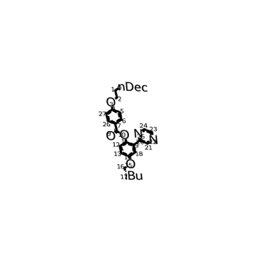 CCCCCCCCCCCCOc1ccc(C(=O)Oc2ccc(OCC(C)CC)cc2-c2cnccn2)cc1